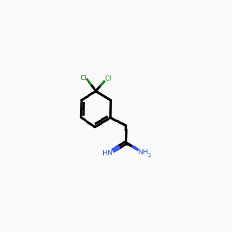 N=C(N)CC1=CC=CC(Cl)(Cl)C1